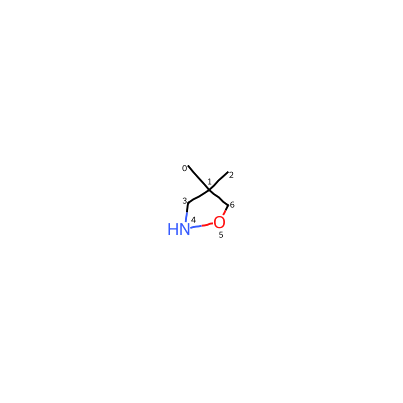 CC1(C)CNOC1